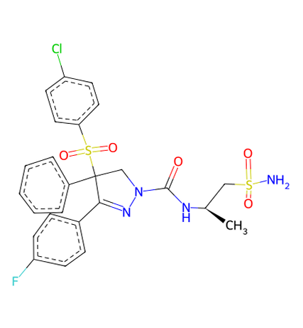 C[C@H](CS(N)(=O)=O)NC(=O)N1CC(c2ccccc2)(S(=O)(=O)c2ccc(Cl)cc2)C(c2ccc(F)cc2)=N1